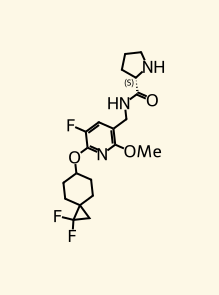 COc1nc(OC2CCC3(CC2)CC3(F)F)c(F)cc1CNC(=O)[C@@H]1CCCN1